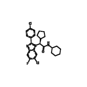 O=C(NC1CCCCC1)[C@H](C1CCCC1)n1c(-c2ccc(Cl)cc2)nc2cc(F)c(Cl)cc21